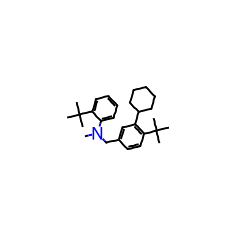 CN(Cc1ccc(C(C)(C)C)c(C2CCCCC2)c1)c1ccccc1C(C)(C)C